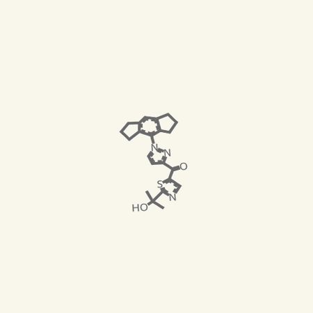 CC(C)(O)c1ncc(C(=O)c2ccn(-c3c4c(cc5c3CCC5)CCC4)n2)s1